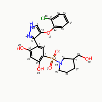 O=S(=O)(c1cc(-c2n[nH]cc2Oc2ccccc2Cl)c(O)cc1O)N1CCCC(CO)C1